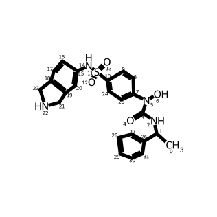 CC(NC(=O)N(O)c1ccc(S(=O)(=O)Nc2ccc3c(c2)CNC3)cc1)c1ccccc1